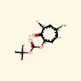 CC(C)(C)OC(=O)Oc1ccc(F)cc(I)c1=O